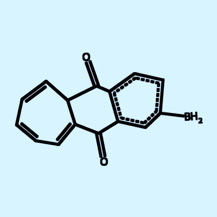 Bc1ccc2c(c1)C(=O)C1=CC=CC=CC1C2=O